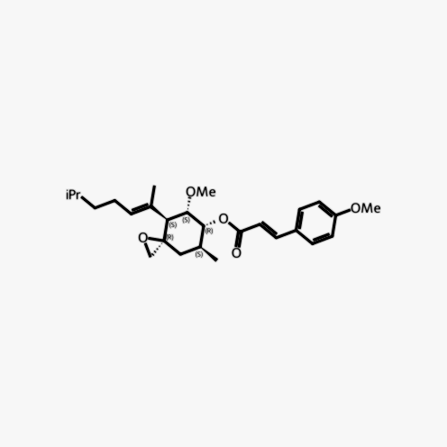 COc1ccc(C=CC(=O)O[C@H]2[C@@H](OC)[C@H](C(C)=CCCC(C)C)[C@@]3(CO3)C[C@@H]2C)cc1